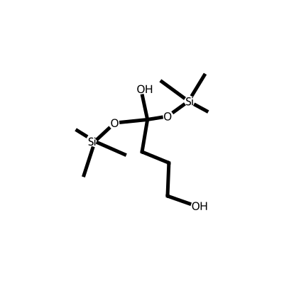 C[Si](C)(C)OC(O)(CCCO)O[Si](C)(C)C